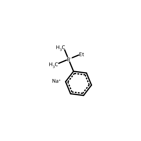 CC[B-](C)(C)c1ccccc1.[Na+]